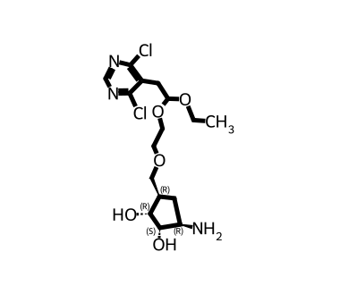 CCOC(Cc1c(Cl)ncnc1Cl)OCCOC[C@H]1C[C@@H](N)[C@H](O)[C@@H]1O